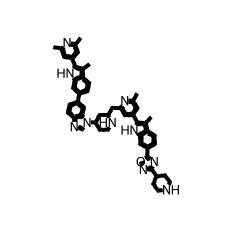 Cc1cc(-c2[nH]c3cc(-c4ccc5ncn(C6CCNC(Cc7cc(-c8[nH]c9cc(-c%10nc(C%11CCNCC%11)no%10)ccc9c8C)cc(C)n7)C6)c5c4)ccc3c2C)cc(C)n1